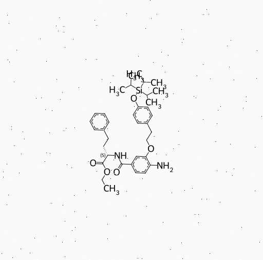 CCOC(=O)[C@H](CCc1ccccc1)NC(=O)c1ccc(N)c(OCCc2ccc(O[Si](C(C)C)(C(C)C)C(C)C)cc2)c1